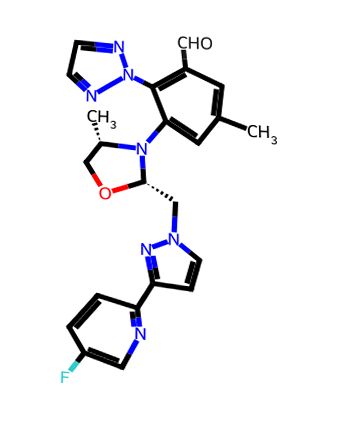 Cc1cc(C=O)c(-n2nccn2)c(N2[C@H](Cn3ccc(-c4ccc(F)cn4)n3)OC[C@@H]2C)c1